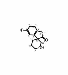 O=C1Nc2ccc(F)cc2C12CCCNC2